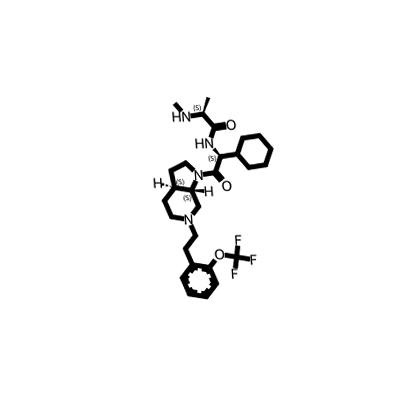 CN[C@@H](C)C(=O)N[C@H](C(=O)N1CC[C@@H]2CCN(CCc3ccccc3OC(F)(F)F)C[C@H]21)C1CCCCC1